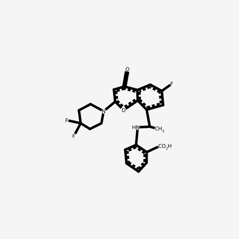 CC(Nc1ccccc1C(=O)O)c1cc(F)cc2c(=O)cc(N3CCC(F)(F)CC3)oc12